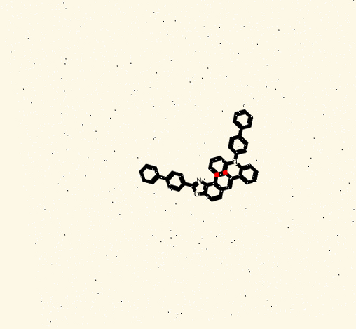 C1=CC(c2ccc(-c3nc4c(ccc5cc(-c6ccccc6N(c6ccccc6)c6ccc(-c7ccccc7)cc6)ccc54)o3)cc2)=CCC1